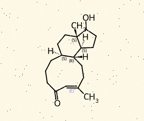 C/C1=C\C(=O)CCC[C@H]2CC[C@]3(C)C(O)CC[C@H]3[C@@H]2CC1